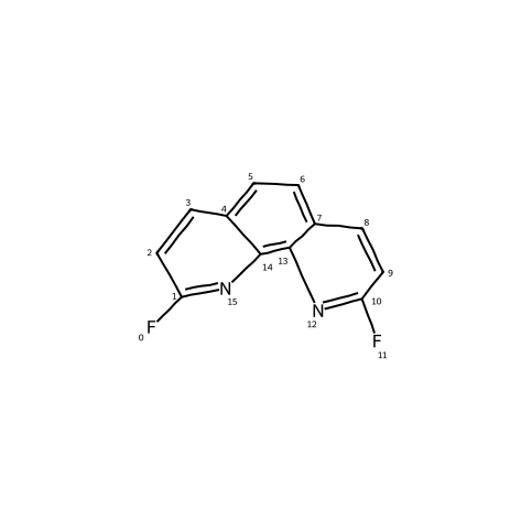 Fc1ccc2ccc3ccc(F)nc3c2n1